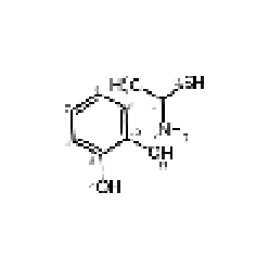 CC(N)S.Oc1ccccc1O